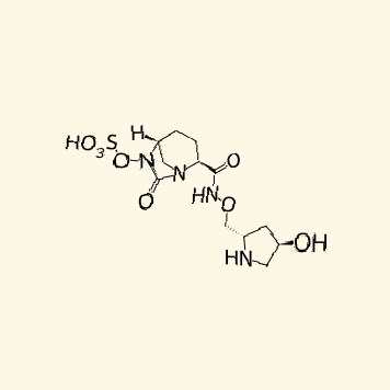 O=C(NOC[C@@H]1C[C@@H](O)CN1)[C@@H]1CC[C@@H]2CN1C(=O)N2OS(=O)(=O)O